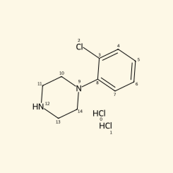 Cl.Cl.Clc1ccccc1N1CCNCC1